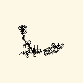 C=CCOC(=O)CC[C@H](NC(=O)CNC(=O)CCCC#Cc1cnc(S(C)(=O)=O)nc1)C(=O)NCOCCC(=O)OC1C(C)CC2C3CCC4=CC(=O)C=CC4(C)C3C(O)CC21C